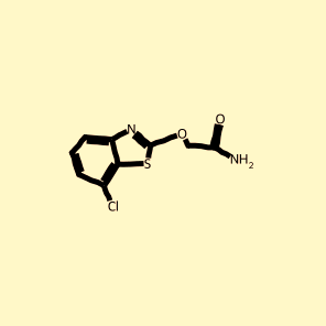 NC(=O)COc1nc2cccc(Cl)c2s1